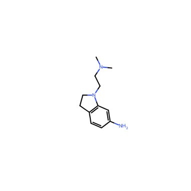 CN(C)CCN1CCc2ccc(N)cc21